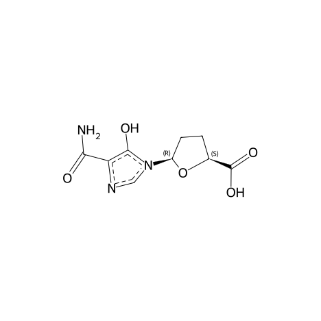 NC(=O)c1ncn([C@H]2CC[C@@H](C(=O)O)O2)c1O